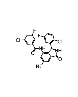 N#Cc1cc(NC(=O)c2cc(F)cc(Cl)c2)c2c(c1)C(=O)NC2c1cc(F)ccc1Cl